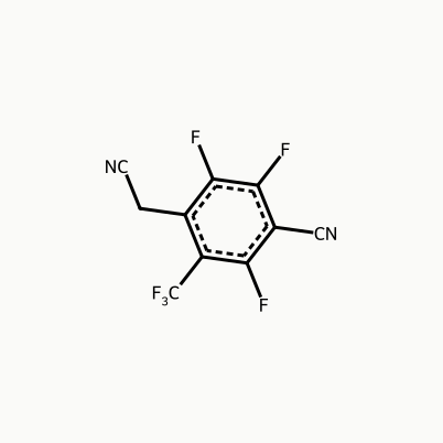 N#CCc1c(F)c(F)c(C#N)c(F)c1C(F)(F)F